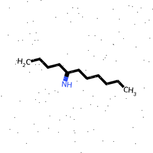 [CH2]CCCC(=N)CCCCCC